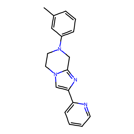 Cc1cccc(N2CCn3cc(-c4ccccn4)nc3C2)c1